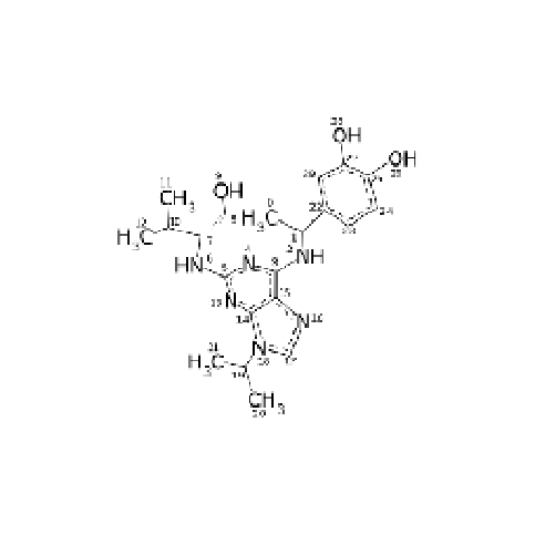 CC(Nc1nc(N[C@@H](CO)C(C)C)nc2c1ncn2C(C)C)c1ccc(O)c(O)c1